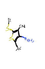 CCSc1sc(C(C)=O)c(N)c1C#N